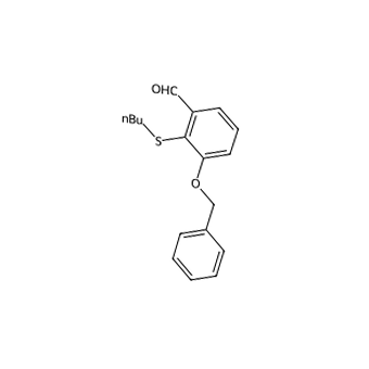 CCCCSc1c(C=O)cccc1OCc1ccccc1